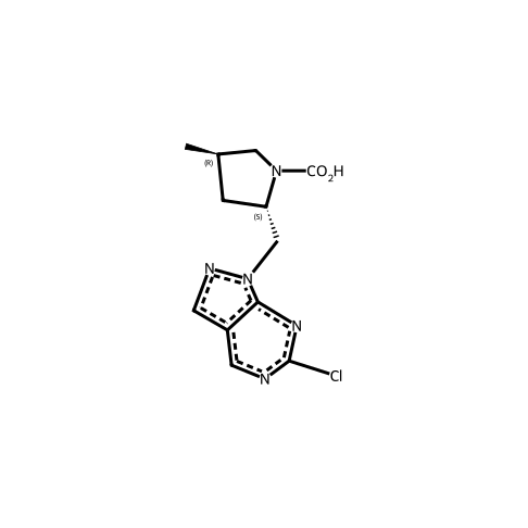 C[C@@H]1C[C@@H](Cn2ncc3cnc(Cl)nc32)N(C(=O)O)C1